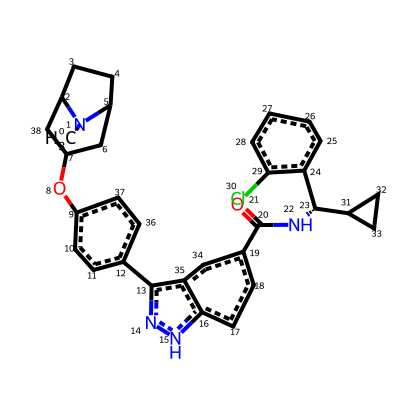 CN1C2CCC1CC(Oc1ccc(-c3n[nH]c4ccc(C(=O)N[C@H](c5ccccc5Cl)C5CC5)cc34)cc1)C2